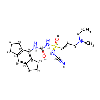 CCN(C)C/C=C/S(=O)(=NC#N)NC(=O)Nc1c2c(cc3c1CCC3)CCC2